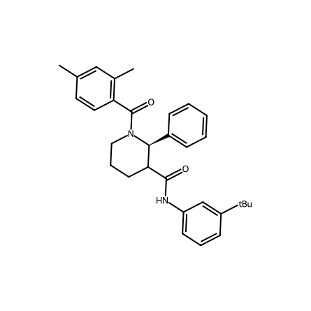 Cc1ccc(C(=O)N2CCCC(C(=O)Nc3cccc(C(C)(C)C)c3)[C@@H]2c2ccccc2)c(C)c1